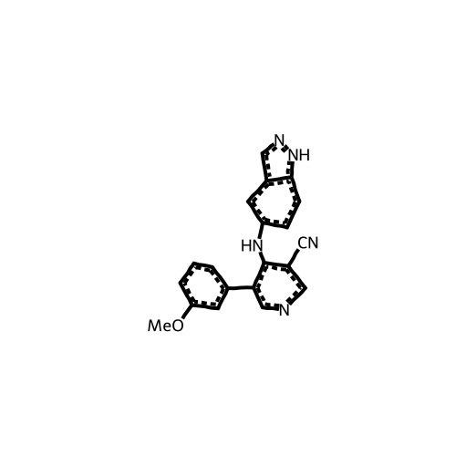 COc1cccc(-c2cncc(C#N)c2Nc2ccc3[nH]ncc3c2)c1